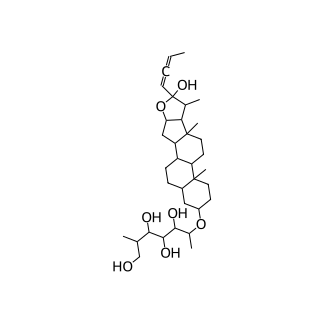 CC=C=CC1(O)OC2CC3C4CCC5CC(OC(C)C(O)C(O)C(O)C(C)CO)CCC5(C)C4CCC3(C)C2C1C